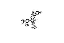 C=CC(=O)N1CCN(C2NC(OC[C@H]3CCCN3C)NC3C[C@@]4(CCC32)Cc2cc(F)ccc2C(=O)N4C)C[C@H]1CC#N